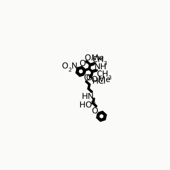 COC(=O)C1=C(C)NC(C)=C(C(=O)OC)C1c1cc([N+](=O)[O-])ccc1OCCCCNC[C@@H](O)COc1ccccc1.Cl